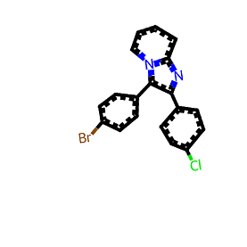 Clc1ccc(-c2nc3ccccn3c2-c2ccc(Br)cc2)cc1